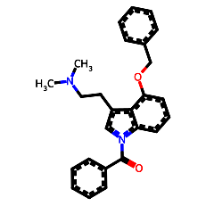 CN(C)CCc1cn(C(=O)c2ccccc2)c2cccc(OCc3ccccc3)c12